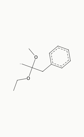 [CH2]C(Cc1ccccc1)(OC)OCC